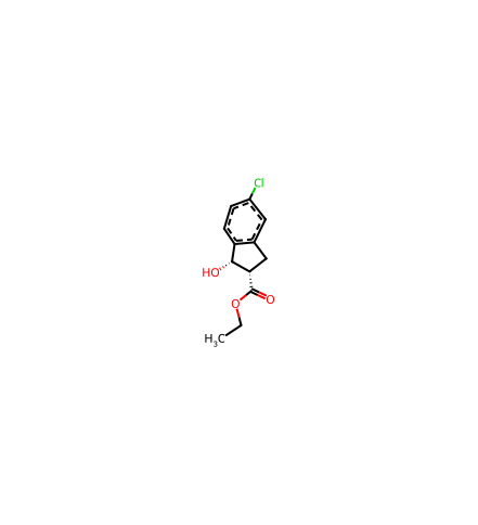 CCOC(=O)[C@H]1Cc2cc(Cl)ccc2[C@H]1O